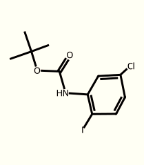 CC(C)(C)OC(=O)Nc1cc(Cl)ccc1I